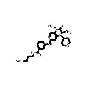 COCCCNC(=O)c1cccc(Nc2cc3c(cn2)N(C)C(=O)C(C)N3C2CCOCC2)c1